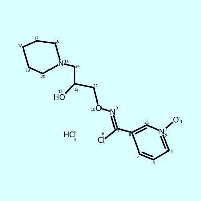 Cl.[O-][n+]1cccc(C(Cl)=NOCC(O)CN2CCCCC2)c1